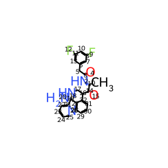 CC(NC(=O)Cc1cc(F)cc(F)c1)C(=O)C1CNC(N)(c2ccccn2)c2ccccc21